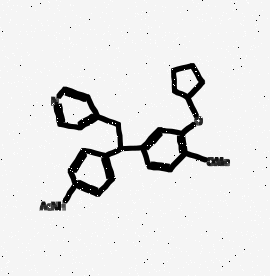 COc1ccc(C(Cc2ccncc2)c2ccc(NC(C)=O)cc2)cc1OC1CCCC1